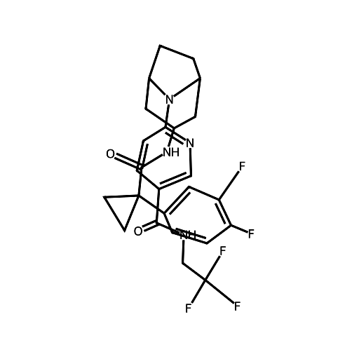 O=C(NCC(F)(F)F)c1ccc(N2C3CCC2CC(NC(=O)C2(c4ccc(F)c(F)c4)CC2)C3)nc1